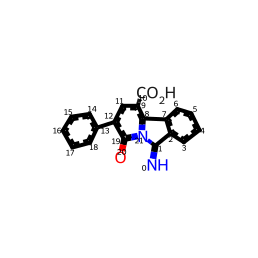 N=C1c2ccccc2-c2c(C(=O)O)cc(-c3ccccc3)c(=O)n21